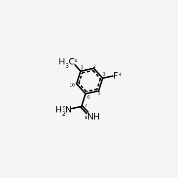 Cc1cc(F)cc(C(=N)N)c1